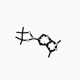 Cc1nn(C)c2ncc(B3OC(C)(C)C(C)(C)O3)cc12